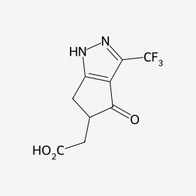 O=C(O)CC1Cc2[nH]nc(C(F)(F)F)c2C1=O